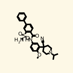 COc1ccc(NC(=O)c2ccc(-c3ccccc3)cc2S(N)(=O)=O)cc1C1(C#N)CCN(C(C)C)CC1